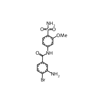 COc1cc(NC(=O)c2ccc(Br)c(N)c2)ccc1S(N)(=O)=O